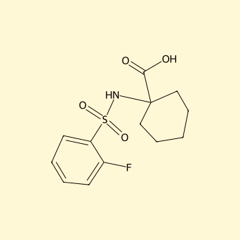 O=C(O)C1(NS(=O)(=O)c2ccccc2F)CCCCC1